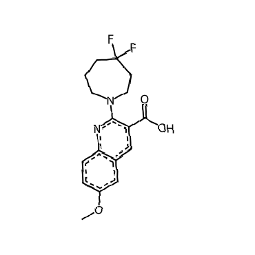 COc1ccc2nc(N3CCCC(F)(F)CC3)c(C(=O)O)cc2c1